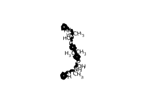 CC(CNCc1ccccc1)NCC(O)COc1ccc(C(C)(C)c2ccc(OCC(O)CNC(C)CNCc3ccccc3)cc2)cc1